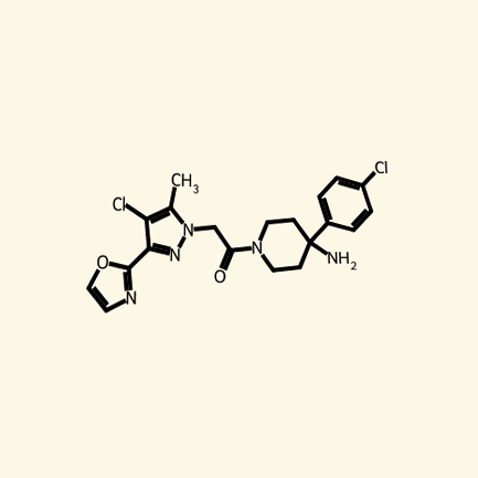 Cc1c(Cl)c(-c2ncco2)nn1CC(=O)N1CCC(N)(c2ccc(Cl)cc2)CC1